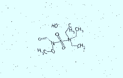 CC[N+](CC)(CC)S(=O)(=O)N(C=O)OC.[OH-]